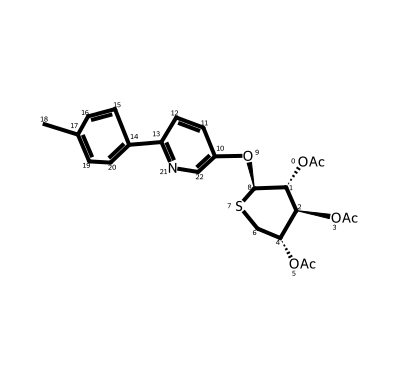 CC(=O)O[C@@H]1[C@@H](OC(C)=O)[C@H](OC(C)=O)CS[C@H]1Oc1ccc(-c2ccc(C)cc2)nc1